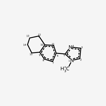 Cn1ccnc1-c1ccc2c(c1)[CH]CCC2